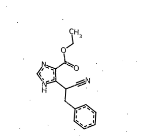 CCOC(=O)c1nc[nH]c1C(C#N)Cc1ccccc1